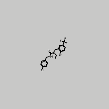 CCN(Cc1cc(C(F)(F)F)ccc1Br)C(=O)NCc1ccc(Cl)cc1